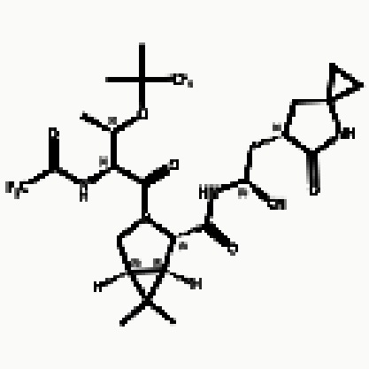 C[C@@H](OC(C)(C)C(F)(F)F)[C@H](NC(=O)C(F)(F)F)C(=O)N1C[C@H]2[C@@H]([C@H]1C(=O)N[C@H](C#N)C[C@@H]1CC3(CC3)NC1=O)C2(C)C